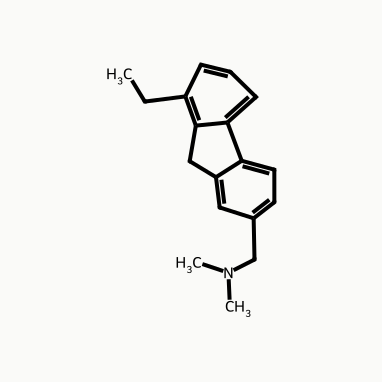 CCc1cccc2c1Cc1cc(CN(C)C)ccc1-2